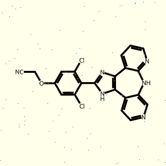 N#CCOc1cc(Cl)c(-c2nc3c([nH]2)-c2ccncc2Nc2ncccc2-3)c(Cl)c1